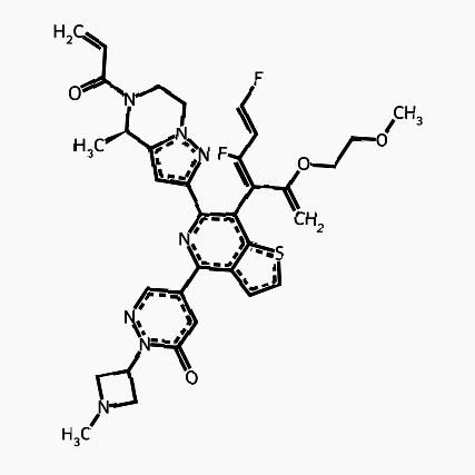 C=CC(=O)N1CCn2nc(-c3nc(-c4cnn(C5CN(C)C5)c(=O)c4)c4ccsc4c3/C(C(=C)OCCOC)=C(F)/C=C/F)cc2[C@H]1C